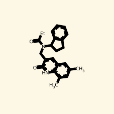 CCC(=O)N(Cc1cc2cc(C)cc(C)c2[nH]c1=O)C1CCc2ccccc21